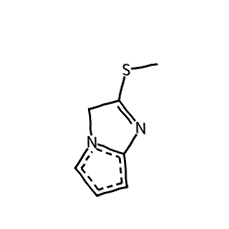 CSC1=Nc2cccn2C1